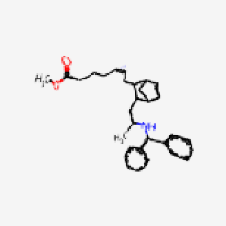 COC(=O)CCC/C=C\CC1C2C=CC(C2)C1CC(C)NC(c1ccccc1)c1ccccc1